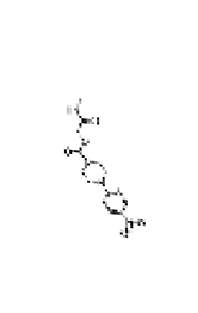 CNC(=O)COC(=O)N1CCN(c2ccc([N+](=O)[O-])cn2)CC1